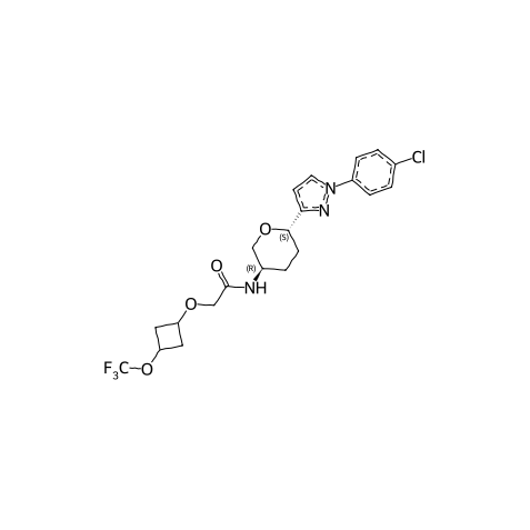 O=C(COC1CC(OC(F)(F)F)C1)N[C@@H]1CC[C@@H](c2ccn(-c3ccc(Cl)cc3)n2)OC1